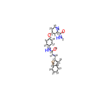 CNC(=O)c1cc(Oc2ccc(NC(=O)/C=C/c3sc4ccccc4c3C)cc2)ccn1